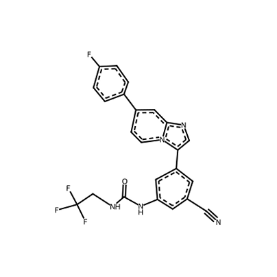 N#Cc1cc(NC(=O)NCC(F)(F)F)cc(-c2cnc3cc(-c4ccc(F)cc4)ccn23)c1